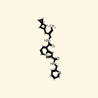 C/C=C(/CNC(=O)c1cccn2nc(C(=O)NCc3ccccn3)cc12)CC1CC2(CC2)C1